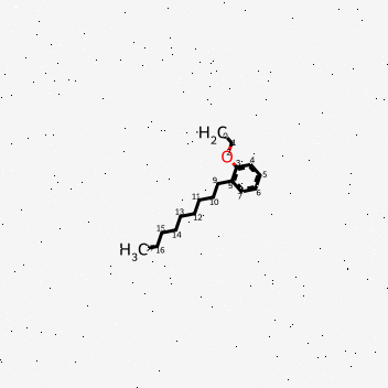 [CH2]COc1ccccc1CCCCCCCCC